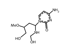 COC(CO)CC(NCO)n1ccc(N)nc1=O